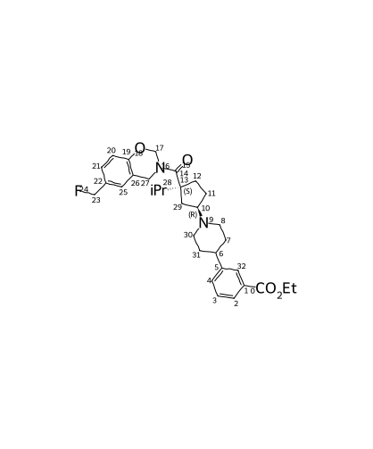 CCOC(=O)c1cccc(C2CCN([C@@H]3CC[C@@](C(=O)N4COc5ccc(CF)cc5C4)(C(C)C)C3)CC2)c1